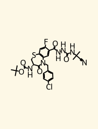 CC(C)(C#N)NC(=O)NNC(=O)c1cc2c(cc1F)SC[C@H](NC(=O)OC(C)(C)C)C(=O)N2Cc1ccc(Cl)cc1